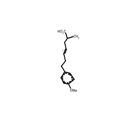 COc1ccc(CC/C=C/CC(C)C(=O)O)cc1